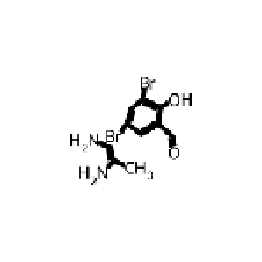 CC(N)=CN.O=Cc1cc(Br)cc(Br)c1O